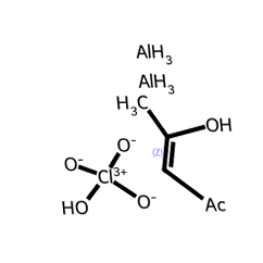 CC(=O)/C=C(/C)O.[AlH3].[AlH3].[O-][Cl+3]([O-])([O-])O